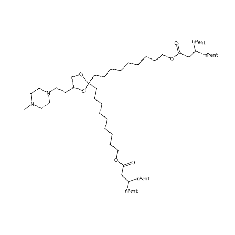 CCCCCC(CCCCC)CC(=O)OCCCCCCCCCC1(CCCCCCCCCOC(=O)CC(CCCCC)CCCCC)OCC(CCN2CCN(C)CC2)O1